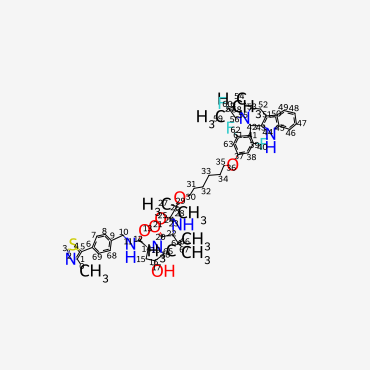 Cc1ncsc1-c1ccc(CNC(=O)[C@@H]2C[C@@H](O)CN2C(=O)C(NC(=O)C(C)(C)OCCCCCCOc2cc(F)c([C@@H]3c4[nH]c5ccccc5c4C[C@@H](C)N3CC(C)(C)F)c(F)c2)C(C)(C)C)cc1